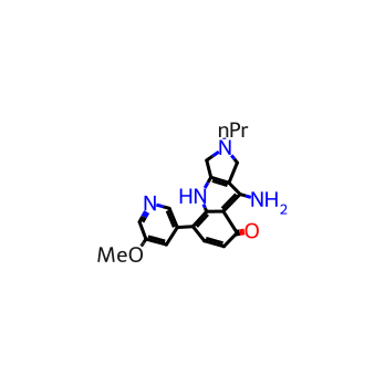 CCCN1Cc2[nH]c3c(-c4cncc(OC)c4)ccc(=O)c-3c(N)c2C1